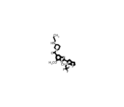 CCCN[C@@H]1CCCN(C(=O)c2cc(OC)c3c(c2)nc(-c2cc4ccsc4n2CC(F)(F)F)n3C)C1